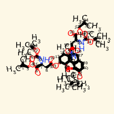 CC(C)COC(=O)[C@H](CC(=O)OC1CC[C@@]2(OC(=O)C[C@H](NC(=O)OC(C)(C)C)C(=O)OCC(C)C)[C@H]3Cc4ccc(O[Si](C)(C)C(C)(C)C)c5c4[C@@]2(CCN3C)[C@H]1O5)NC(=O)OC(C)(C)C